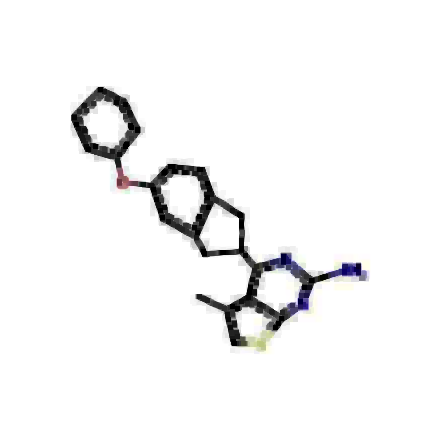 Cc1csc2nc(N)nc(C3Cc4ccc(Oc5ccccc5)cc4C3)c12